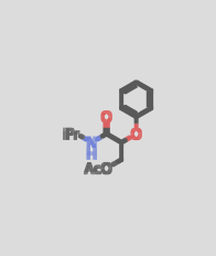 CC(=O)OCC(Oc1ccccc1)C(=O)NC(C)C